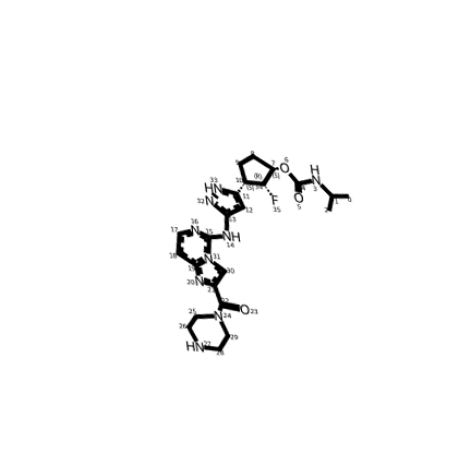 CC(C)NC(=O)O[C@H]1CC[C@@H](c2cc(Nc3nccc4nc(C(=O)N5CCNCC5)cn34)n[nH]2)[C@H]1F